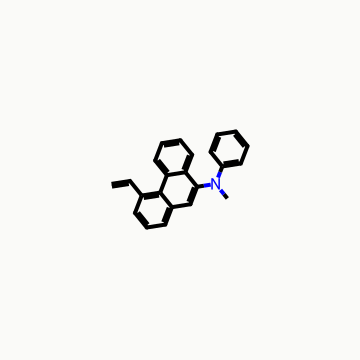 C=Cc1cccc2cc(N(C)c3ccccc3)c3ccccc3c12